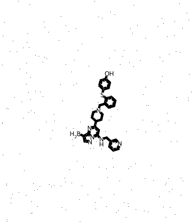 Bc1cnn2c(NCc3cccnc3)cc(C3CCN(Cc4ccccc4Sc4ccc(O)cc4)CC3)nc12